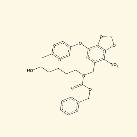 Cc1ccc(Oc2cc(CN(CCCCCO)C(=O)OCc3ccccc3)c([N+](=O)[O-])c3c2OCO3)cn1